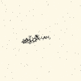 NCCCn1cnc2cc(C(=O)Nc3cn4ccsc4n3)ccc21